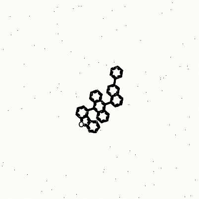 c1ccc(-c2ccc3c(-c4c5ccccc5c(-c5cccc6oc7ccccc7c56)c5ccccc45)cccc3c2)cc1